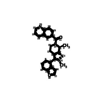 C[C@H]1c2nn(C)c(-c3cccc4occc34)c2CCN1C(=O)c1ccc2ncccc2c1